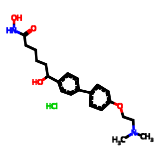 CN(C)CCOc1ccc(-c2ccc(C(O)CCCCC(=O)NO)cc2)cc1.Cl